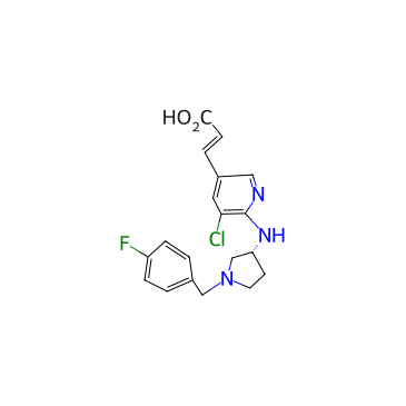 O=C(O)C=Cc1cnc(N[C@@H]2CCN(Cc3ccc(F)cc3)C2)c(Cl)c1